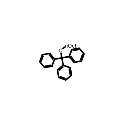 CCCCCCCCOC(c1ccccc1)(c1ccccc1)c1ccccc1